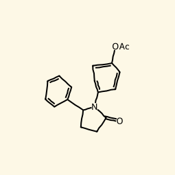 CC(=O)Oc1ccc(N2C(=O)CCC2c2ccccc2)cc1